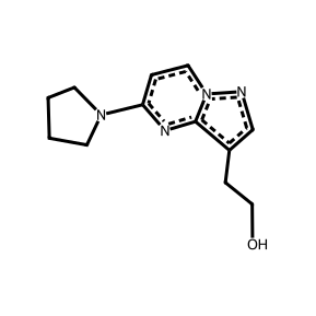 OCCc1cnn2ccc(N3CCCC3)nc12